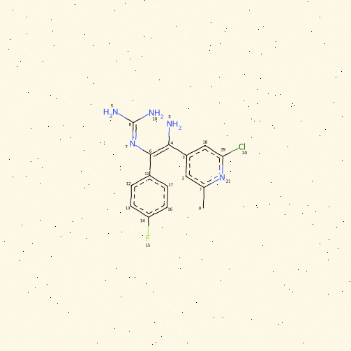 Cc1cc(/C(N)=C(/N=C(N)N)c2ccc(F)cc2)cc(Cl)n1